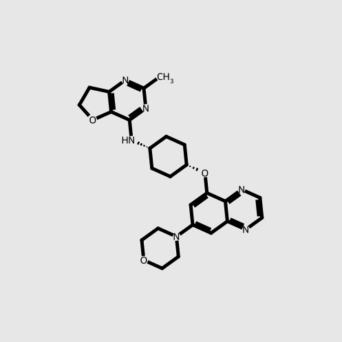 Cc1nc2c(c(N[C@H]3CC[C@@H](Oc4cc(N5CCOCC5)cc5nccnc45)CC3)n1)OCC2